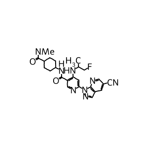 CNC(=O)C1CCC(NC(=O)c2cnc(-n3ncc4cc(C#N)cnc43)cc2NC(C)CF)CC1